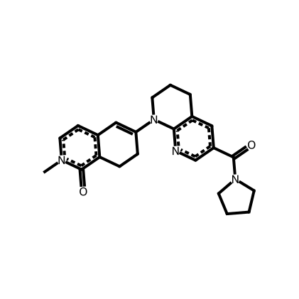 Cn1ccc2c(c1=O)CCC(N1CCCc3cc(C(=O)N4CCCC4)cnc31)=C2